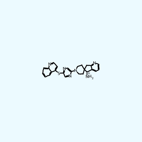 N[C@@H]1c2cccnc2CC12CCN(c1cnc(Sc3ccnc4ccccc34)cn1)CC2